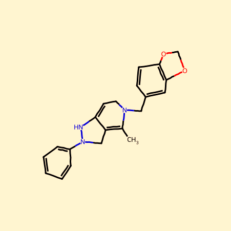 CC1=C2CN(c3ccccc3)NC2=CCN1Cc1ccc2c(c1)OCO2